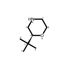 CC(C)(C)[C@H]1CNCCO1